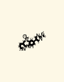 CN(C)c1ncc(-c2ccc3c(c2)N(C=O)Cc2cccnc2N3)cn1